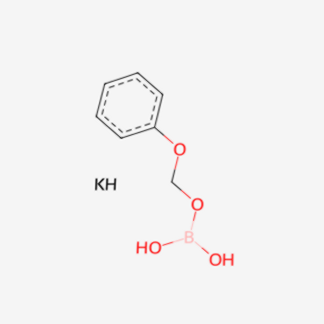 OB(O)OCOc1ccccc1.[KH]